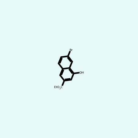 CCOC(=O)c1cc(O)c2cc(Br)ccc2c1